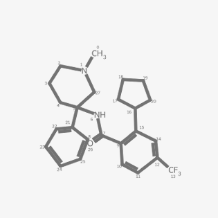 CN1CCCC(NC(=O)c2ccc(C(F)(F)F)cc2C2CCCC2)(c2ccccc2)C1